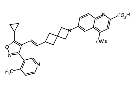 COc1cc(C(=O)O)nc2ccc(N3CC4(CC(C=Cc5c(-c6cnccc6C(F)(F)F)noc5C5CC5)C4)C3)cc12